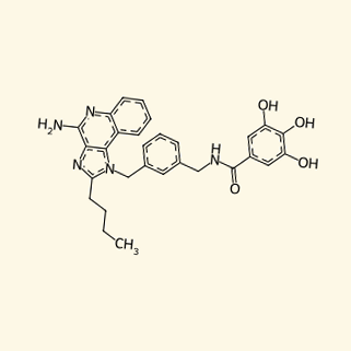 CCCCc1nc2c(N)nc3ccccc3c2n1Cc1cccc(CNC(=O)c2cc(O)c(O)c(O)c2)c1